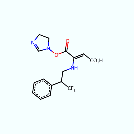 O=C(O)/C=C(\NCC(c1ccccc1)C(F)(F)F)C(=O)ON1C=NCC1